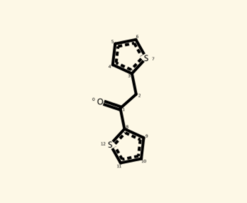 O=C(Cc1cccs1)c1cccs1